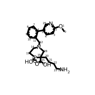 COc1ccc(-c2ccccc2CN2CCP(=O)(O)C(CCCCN)(C(=O)O)C2)cn1